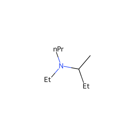 CCCN(CC)C(C)CC